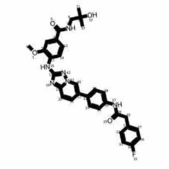 COc1cc(C(=O)NCC(C)(C)O)ccc1Nc1nc2ccc(-c3ccc(NC(=O)Cc4ccc(F)cc4)cc3)cn2n1